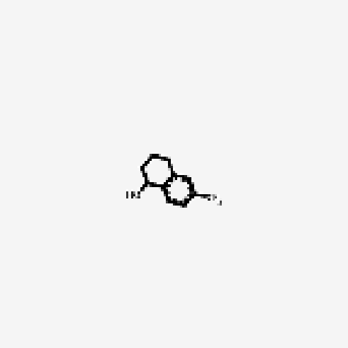 OC1CCCc2cc(C(F)(F)F)ccc21